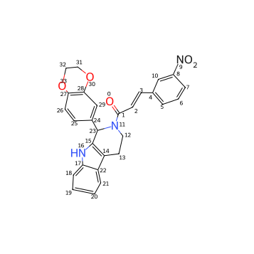 O=C(C=Cc1cccc([N+](=O)[O-])c1)N1CCc2c([nH]c3ccccc23)C1c1ccc2c(c1)OCCO2